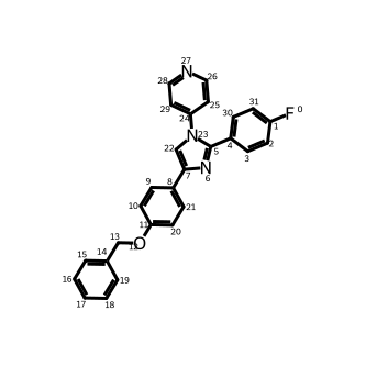 Fc1ccc(-c2nc(-c3ccc(OCc4ccccc4)cc3)cn2-c2ccncc2)cc1